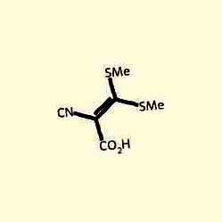 [C-]#[N+]C(C(=O)O)=C(SC)SC